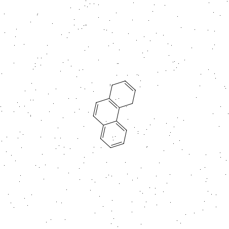 [C]1C=CCc2c1ccc1ccccc21